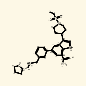 CCS(=O)(=O)N1CCC(c2c[nH]c3c(C(N)=O)cc(-c4cccc(CNC[C@@H]5CCCO5)c4)cc23)CC1